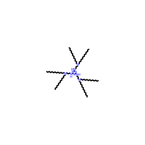 CCCCCCCCCCCCCN(CCCCCCCCCCCCC)CCCNc1nc(NCCCN(CCCCCCCCCCCCC)CCCCCCCCCCCCC)nc(NCCCN(CCCCCCCCCCCCC)CCCCCCCCCCCCC)n1